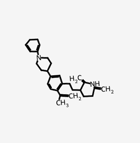 C=C1CCC(CCc2cc(C3CCN(C4=CCCC=C4)CC3)ccc2C(=C)C)C(=C)N1